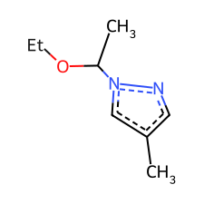 CCOC(C)n1cc(C)cn1